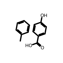 Cc1ccccc1.O=C(O)c1ccc(O)cc1